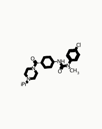 CC(C)N1CCN(C(=O)[C@H]2CC[C@@H](NC(=O)N(C)c3ccc(Cl)cc3)CC2)CC1